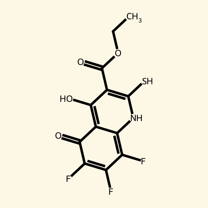 CCOC(=O)c1c(S)[nH]c2c(F)c(F)c(F)c(=O)c-2c1O